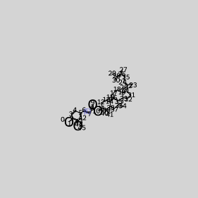 COc1ccc(/C=C/C(=O)OC2CCC34CC35CCC3(C)C(C(C)CCC(C)=C(C)C)CCC3(C)C5CCC4C2(C)C)cc1OC